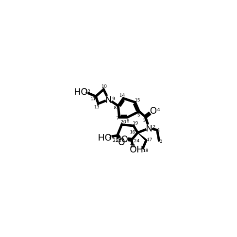 CCN(C(=O)c1ccc(N2CC(O)C2)cc1)[C@@](CC)(CCC(=O)O)C(=O)O